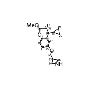 COC(=O)[C@@H](C)[C@H](c1cccc(OCC2CNC2)c1)C1CC1